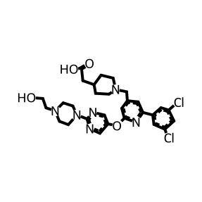 O=C(O)CC1CCN(Cc2cc(Oc3cnc(N4CCN(CCO)CC4)nc3)nc(-c3cc(Cl)cc(Cl)c3)c2)CC1